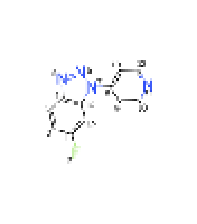 Fc1ccc2nnn(-c3ccncc3)c2c1